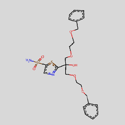 NS(=O)(=O)c1cnc(C(O)(COCCOCc2ccccc2)COCCOCc2ccccc2)s1